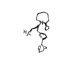 C=CC(c1ccc(C2OCCO2)s1)N1CCCCCC1=O